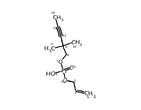 C=CCOP(=O)(O)OCC(C)(C)C#CC